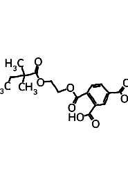 CCC(C)(C)C(=O)OCCOC(=O)c1ccc(C(=O)O)cc1C(=O)O